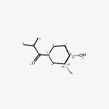 CC(C)C(=O)N1CC[C@H](O)[C@H](C)C1